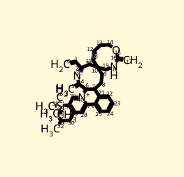 C=C/C1=N/C(=C)C2C(CCC3(/C=C\CCOC(=C)NC3)C1)c1ccccc1-c1cc(CC(C)C)c([Si](C)(C)C)c[n+]12